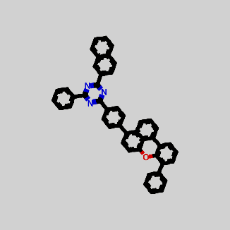 c1ccc(-c2nc(-c3ccc(-c4ccc5c6c(cccc46)-c4cccc(-c6ccccc6)c4O5)cc3)nc(-c3ccc4ccccc4c3)n2)cc1